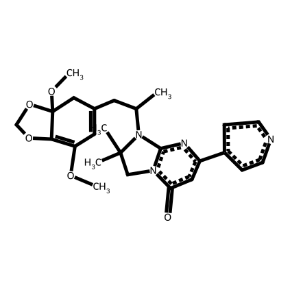 COC1=C2OCOC2(OC)CC(CC(C)N2c3nc(-c4ccncc4)cc(=O)n3CC2(C)C)=C1